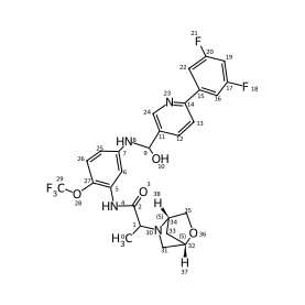 CC(C(=O)Nc1cc(NC(O)c2ccc(-c3cc(F)cc(F)c3)nc2)ccc1OC(F)(F)F)N1C[C@@H]2C[C@H]1CO2